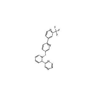 FC(F)(F)c1cc(-c2ccc(CN3C=CC=CC3c3cnccn3)cn2)ccn1